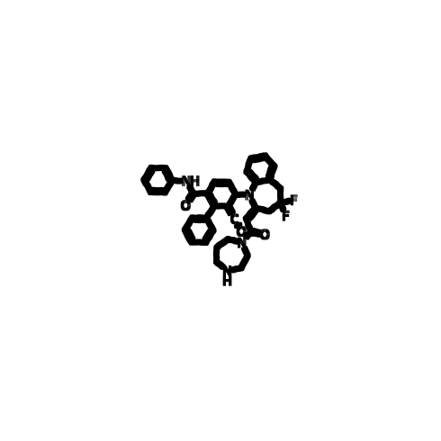 O=C=C1C(c2ccccc2)=C(C(=O)Nc2ccccc2)C=CC1N1C(=CC(=O)N2CCCNCC2)CC(F)(F)Cc2ccccc21